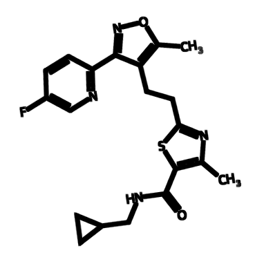 Cc1nc(CCc2c(-c3ccc(F)cn3)noc2C)sc1C(=O)NCC1CC1